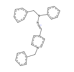 C(=N\N(Cc1ccccc1)c1ccccc1)/c1cc[n+](Cc2ccccc2)cc1